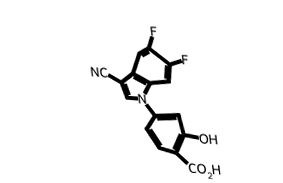 N#Cc1cn(-c2ccc(C(=O)O)c(O)c2)c2cc(F)c(F)cc12